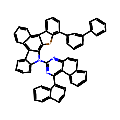 c1ccc(-c2cccc(-c3cccc4c3sc3c4c4ccccc4c4c5ccccc5n(-c5nc(-c6cccc7ccccc67)c6c(ccc7ccccc76)n5)c34)c2)cc1